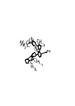 Cc1ccc2c(oc3c(-c4ccc5c(c4)C(C)(C)c4ccccc4-5)ccc(C#N)c32)c1-c1cc(F)c(C(C)(C)C)c[n+]1C